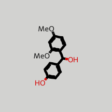 COc1ccc(C(O)c2ccc(O)cc2)c(OC)c1